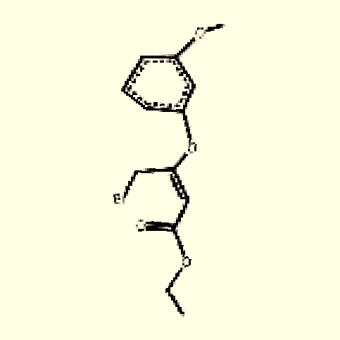 CCOC(=O)C=C(CBr)Oc1cccc(OC)c1